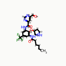 CCCCCC(=O)Nc1cc(C(F)(F)F)cc(NC(=O)c2cc(C=O)ncn2)c1OC1CCNC1